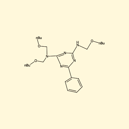 CCCCOCNc1nc(-c2ccccc2)nc(N(COCCCC)COCCCC)n1